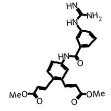 COC(=O)C=Cc1ccc(NC(=O)c2cccc(NC(=N)N)c2)cc1C=CC(=O)OC